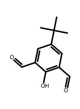 CC(C)(C)c1cc(C=O)c(O)c(C=O)c1